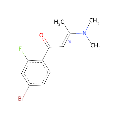 C/C(=C\C(=O)c1ccc(Br)cc1F)N(C)C